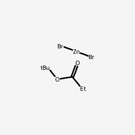 [Br][Zn][Br].[CH2]CC(=O)OC(C)(C)C